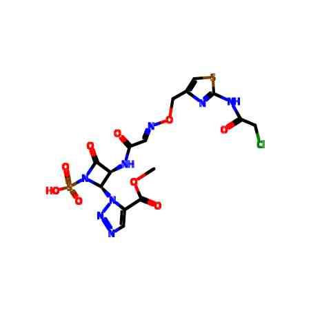 COC(=O)c1cnnn1[C@@H]1[C@H](NC(=O)C=NOCc2csc(NC(=O)CCl)n2)C(=O)N1S(=O)(=O)O